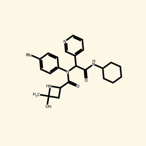 CC1(O)CC(C(=O)N(c2ccc(C(C)(C)C)cc2)C(C(=O)NC2CCCCC2)c2cccnc2)N1